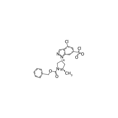 C[C@@H]1C[C@@H](n2ncc3c(Cl)cc(S(=O)(=O)Cl)cc32)CN1C(=O)OCc1ccccc1